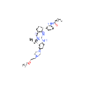 C=CC(=O)Nc1cccc(C2=CC=CC(=C/N=C)/C2=N\CNc2ccc(N3CCN(CCOC)CC3)cc2)c1